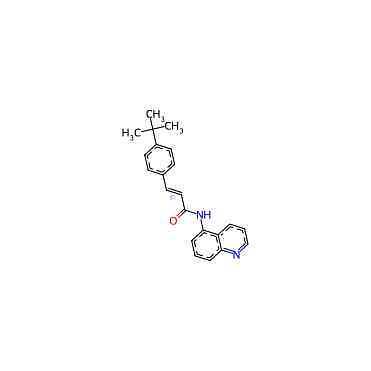 CC(C)(C)c1ccc(/C=C/C(=O)Nc2cccc3ncccc23)cc1